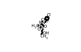 CCC(O)CCn1c(=O)c2c(nc(C)n2Cc2ccc(Cl)cc2)n(C)c1=O